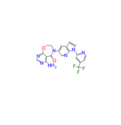 Nc1ncnc2c1C(=O)N(c1cnc3c(ccn3-c3cc(C(F)(F)F)ccn3)c1)CCO2